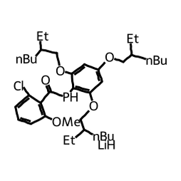 CCCCC(CC)COc1cc(OCC(CC)CCCC)c(PC(=O)c2c(Cl)cccc2OC)c(OCC(CC)CCCC)c1.[LiH]